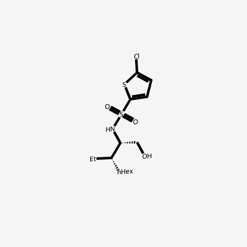 CCCCCC[C@H](CC)[C@@H](CO)NS(=O)(=O)c1ccc(Cl)s1